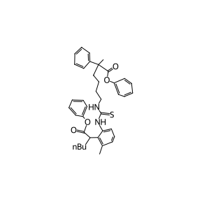 CCCCC(C(=O)Oc1ccccc1)c1c(C)cccc1NC(=S)NCCCCC(C)(C(=O)Oc1ccccc1)c1ccccc1